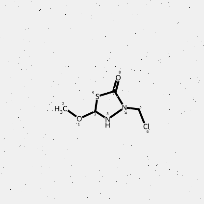 COC1NN(CCl)C(=O)S1